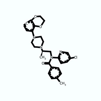 Cc1ccc(C(=O)N(C[C@@H](C)N2CCN(c3cccc4c3OCCO4)CC2)c2ccc(Cl)cn2)cc1